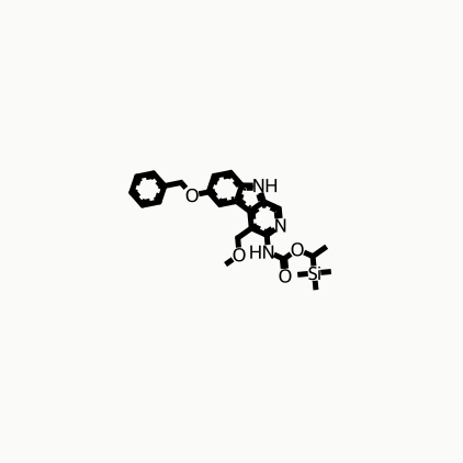 COCc1c(NC(=O)OC(C)[Si](C)(C)C)ncc2[nH]c3ccc(OCc4ccccc4)cc3c12